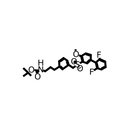 COc1ccc(-c2c(F)cccc2F)cc1S(=O)(=O)Cc1cccc(CCCNC(=O)OC(C)(C)C)c1